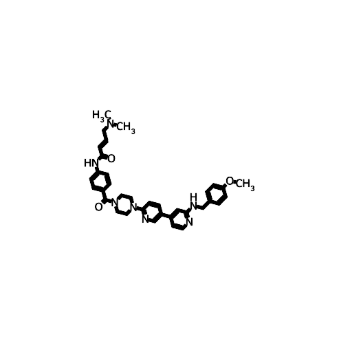 COc1ccc(CNc2cc(-c3ccc(N4CCN(C(=O)c5ccc(NC(=O)/C=C/CN(C)C)cc5)CC4)nc3)ccn2)cc1